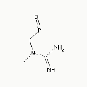 CN(CP=O)C(=N)N